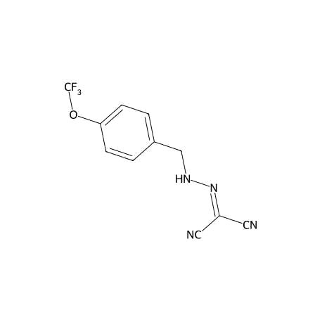 N#CC(C#N)=NNCc1ccc(OC(F)(F)F)cc1